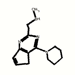 CBCc1nc2c(c(N3CCCCC3)n1)CC=C2